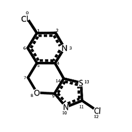 Clc1cnc2c(c1)COc1nc(Cl)sc1-2